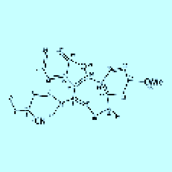 C/C=C(C#N)\C=C/C(C)/C1=C\CC(C)C2=C(C=CC(OC)C2)c2oc3ccccc3c21